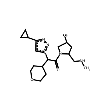 CNCC1CC(O)CN1C(=O)C(C1CCOCC1)n1cc(C2CC2)nn1